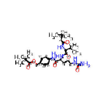 CC(C)[C@H](NC(=O)CC(C)(C)C)C(=O)N[C@@H](CCCNC(N)=O)C(=O)Nc1ccc(COC(=O)C(C)(C)C)cc1